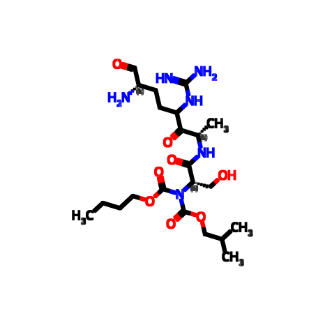 CCCCOC(=O)N(C(=O)OCC(C)C)[C@@H](CO)C(=O)N[C@@H](C)C(=O)C(CC[C@H](N)C=O)NC(=N)N